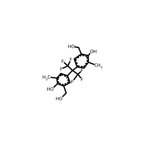 Cc1cc(C(c2cc(C)c(O)c(CO)c2)(C(F)(F)F)C(F)(F)F)cc(CO)c1O